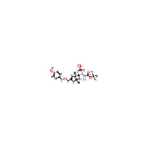 COc1ccc(COCC2=C[C@H]3[C@@H](C2)C[C@@]3(CNC(=O)OC(C)(C)C)CC(=O)O)cc1